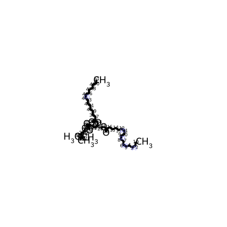 CC/C=C\C/C=C\C/C=C\C/C=C\CCCCC(=O)OC[C@H](COP(=O)([O-])OCC[N+](C)(C)C)OC(=O)CCCCCCC/C=C\CCCCCC